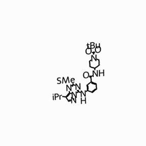 CSc1nc(Nc2cccc(C(=O)NC3CCN(C(=O)OC(C)(C)C)CC3)c2)n2ncc(C(C)C)c2n1